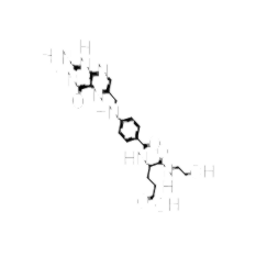 Nc1nc(=O)c2nc(CNc3ccc(C(=O)NC(CCC(=O)O)C(=O)NCCO)cc3)cnc2[nH]1